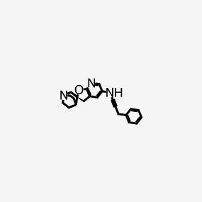 C(#CNc1cnc2c(c1)C[C@@]1(CN3CCC1CC3)O2)Cc1ccccc1